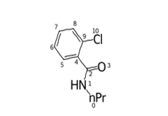 CCCNC(=O)c1ccccc1Cl